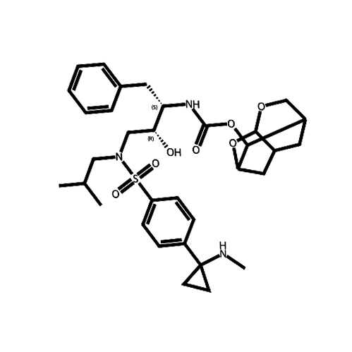 CNC1(c2ccc(S(=O)(=O)N(CC(C)C)C[C@@H](O)[C@H](Cc3ccccc3)NC(=O)OC3C4COC5OC3CC5C4)cc2)CC1